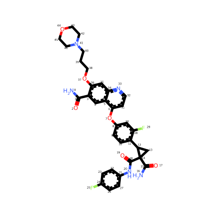 NC(=O)c1cc2c(Oc3ccc(C4CC4(C(N)=O)C(=O)Nc4ccc(F)cc4)c(F)c3)ccnc2cc1OCCCN1CCOCC1